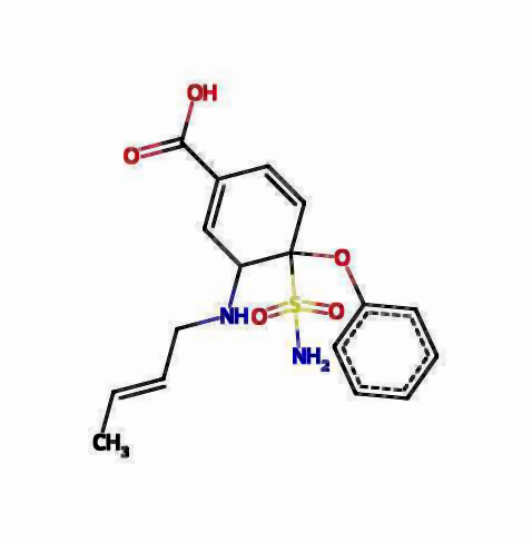 CC=CCNC1C=C(C(=O)O)C=CC1(Oc1ccccc1)S(N)(=O)=O